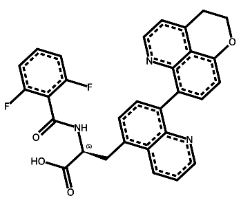 O=C(N[C@@H](Cc1ccc(-c2ccc3c4c(ccnc24)CCO3)c2ncccc12)C(=O)O)c1c(F)cccc1F